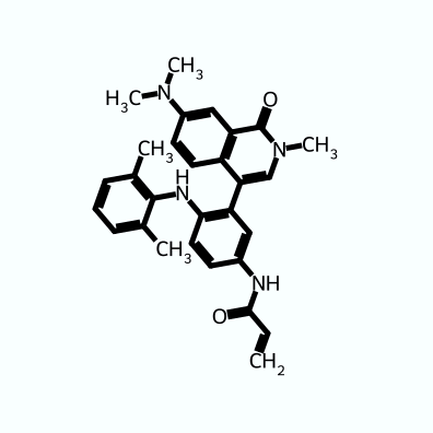 C=CC(=O)Nc1ccc(Nc2c(C)cccc2C)c(-c2cn(C)c(=O)c3cc(N(C)C)ccc23)c1